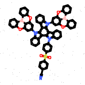 N#Cc1ccc(S(=O)(=O)c2ccc(-n3c4ccccc4c4c3c3c5ccccc5n(-c5cc6c7c(c5)Oc5ccccc5B7c5ccccc5O6)c3c3c5ccccc5n(-c5cc6c7c(c5)Oc5ccccc5B7c5ccccc5O6)c43)cc2)cc1